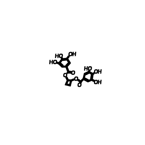 O=C(OC1CCC1OC(=O)c1cc(O)c(O)c(O)c1)c1cc(O)c(O)c(O)c1